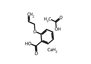 C=CCOc1ccccc1C(=O)O.CC(=O)O.[CaH2]